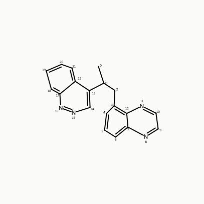 C[C](Cc1cccc2nccnc12)c1cnnc2ccccc12